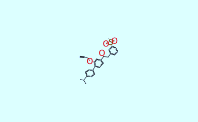 C#CCOc1cc(C(=O)Cc2cccc(S(C)(=O)=O)c2)ccc1-c1ccc(C(C)C)cc1